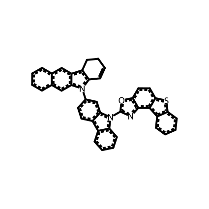 C1=Cc2c(c3cc4ccccc4cc3n2-c2ccc3c4ccccc4n(-c4nc5c(ccc6sc7ccccc7c65)o4)c3c2)CC1